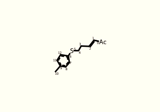 CC(=O)C=CCCSc1ccc(C)cc1